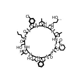 CCCCN1CC(=O)N(C)[C@@H](Cc2cccc(Cl)c2)C(=O)N(C)[C@@H](CC(C)C)C(=O)N[C@@H](COCC[C@@H](C)O)C(=O)N(C)[C@@H](CC(C)C)C(=O)N[C@H](C(=O)N2CCCCC2)CC(=O)N(C)CC(=O)N(C)[C@@H](Cc2ccccc2)C(=O)N[C@@H](C(C)C)C(O)N(C)[C@@H](CC(C)C)C(O)N[C@@H]([C@@H](C)O)C1=O